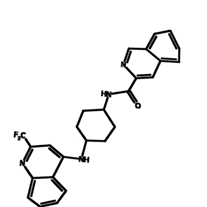 O=C(NC1CCC(Nc2cc(C(F)(F)F)nc3ccccc23)CC1)c1cc2ccccc2cn1